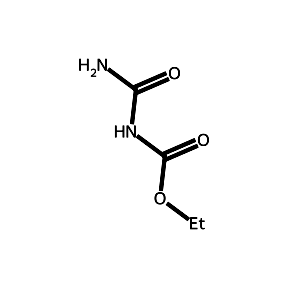 CCOC(=O)NC(N)=O